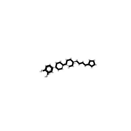 Fc1ccc([C@H]2CC[C@H]([C@H]3CC[C@H](CCCCC4CCCC4)CC3)CC2)cc1F